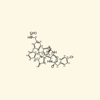 C=C1N=C(c2cc(C)[nH]c(=O)c2NS(=O)(=O)Cc2ccc(Cl)cc2)N(C(c2ccccc2)(c2ccccc2)c2ccc(CNC=O)cc2)C1C